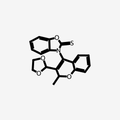 CC1Oc2ccccc2C(n2c(=S)oc3ccccc32)=C1C1OCCO1